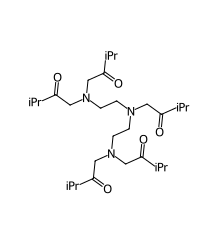 CC(C)C(=O)CN(CCN(CC(=O)C(C)C)CC(=O)C(C)C)CCN(CC(=O)C(C)C)CC(=O)C(C)C